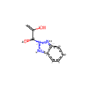 C=C(O)C(=O)n1nc2ccccc2n1